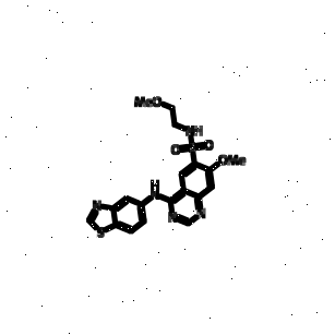 COCCNS(=O)(=O)c1cc2c(Nc3ccc4scnc4c3)ncnc2cc1OC